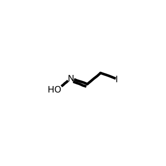 O/N=C/CI